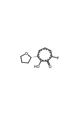 O=c1c(F)cccc([C@@H]2CCCO2)c1O